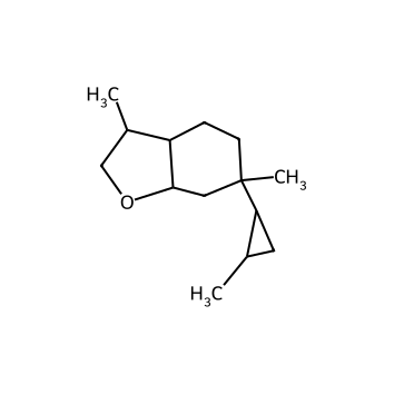 CC1COC2CC(C)(C3CC3C)CCC12